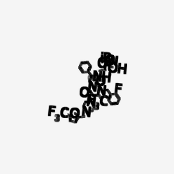 CCC(C)OP(=O)(O)CCN[C@@H](Cn1c(=O)c(N2CCN(Cc3ccc(C(F)(F)F)o3)CC2)c(C)n(Cc2c(F)cccc2C(F)(F)F)c1=O)c1ccccc1